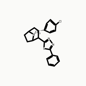 CN1C2CCC1C(c1nnc(-c3ccccc3)s1)[C@@H](c1ccc(Cl)cc1)C2